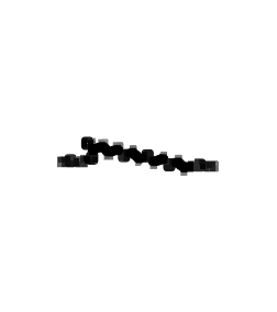 CCCCCCCCCCCCOCCOCCOCCCC(=O)OCCCCCCCC